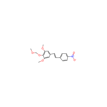 COCOc1c(OC)cc(C=Cc2ccc([N+](=O)[O-])cc2)cc1OC